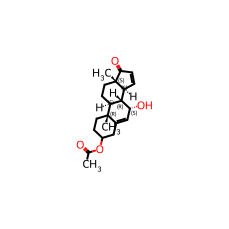 CC(=O)OC1CC[C@@]2(C)C(=C[C@@H](O)[C@@H]3[C@@H]2CC[C@]2(C)C(=O)C=C[C@@H]32)C1